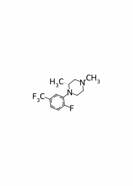 C[C@@H]1CN(C)CCN1c1cc(C(F)(F)F)ccc1F